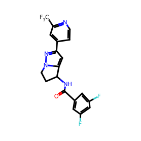 O=C(NC1CCn2nc(-c3ccnc(C(F)(F)F)c3)cc21)c1cc(F)cc(F)c1